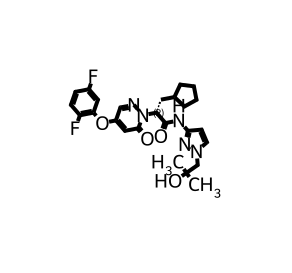 CC(C)(O)Cn1ccc(NC(=O)[C@@H](CC2CCCC2)n2ncc(Oc3cc(F)ccc3F)cc2=O)n1